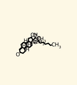 C=C1C[C@H]2[C@@H]3CCC4=CC(=O)CC[C@@H]4[C@H]3CC[C@]2(CC)[C@@]1(OC(=O)CCCCCC)C(C)=O